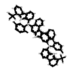 Cc1ccc(C)c(N(c2cc3oc4cc5c6c(cccc6c4c3c3ccccc23)-c2ccc(C)cc2N5c2cccc3c2oc2c(C(C)(C)C)cccc23)c2cccc3c2oc2c(C(C)(C)C)cccc23)c1